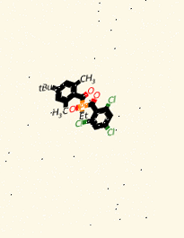 CCP(=O)(C(=O)c1c(C)cc(C(C)(C)C)cc1C)C(=O)c1c(Cl)cc(Cl)cc1Cl